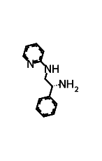 N[C@@H](CNc1ccccn1)c1ccccc1